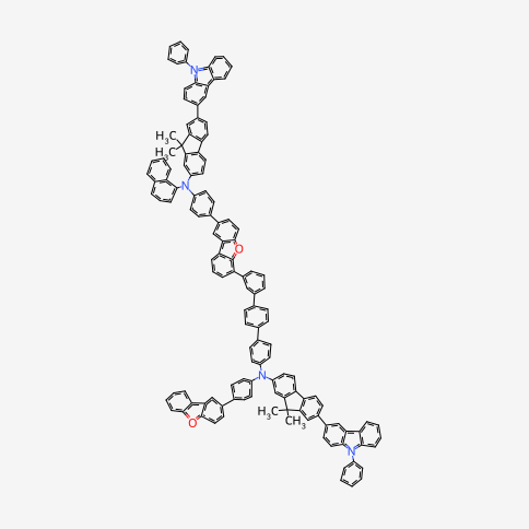 CC1(C)c2cc(-c3ccc4c(c3)c3ccccc3n4-c3ccccc3)ccc2-c2ccc(N(c3ccc(-c4ccc(-c5cccc(-c6cccc7c6oc6ccc(-c8ccc(N(c9ccc%10c(c9)C(C)(C)c9cc(-c%11ccc%12c(c%11)c%11ccccc%11n%12-c%11ccccc%11)ccc9-%10)c9cccc%10ccccc9%10)cc8)cc67)c5)cc4)cc3)c3ccc(-c4ccc5oc6ccccc6c5c4)cc3)cc21